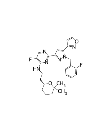 CC1(C)CCC[C@@H](CCNc2nc(-c3cc(-c4ccon4)n(Cc4ccccc4F)n3)ncc2F)O1